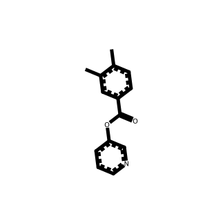 Cc1ccc(C(=O)Oc2cccnc2)cc1C